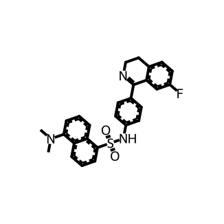 CN(C)c1cccc2c(S(=O)(=O)Nc3ccc(C4=NCCc5ccc(F)cc54)cc3)cccc12